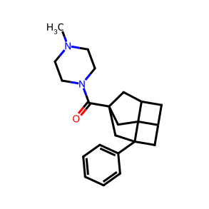 CN1CCN(C(=O)C23CC4CC5CC(c6ccccc6)(C2)C45C3)CC1